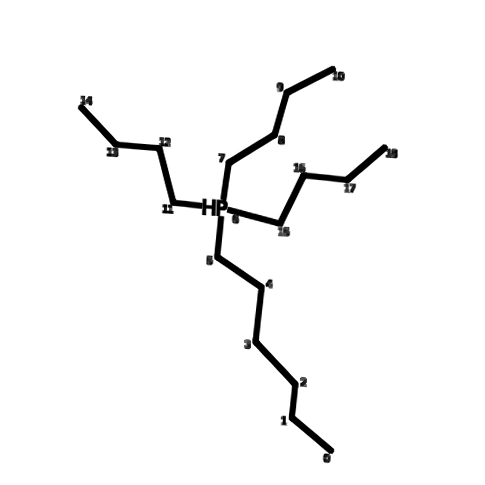 CCCCCC[PH](CCCC)(CCCC)CCCC